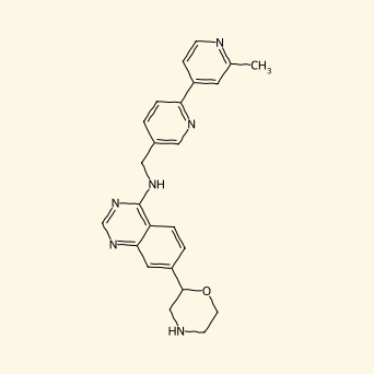 Cc1cc(-c2ccc(CNc3ncnc4cc(C5CNCCO5)ccc34)cn2)ccn1